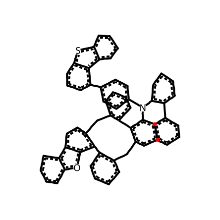 c1ccc(-c2ccccc2N(c2ccc(-c3cccc4sc5ccccc5c34)cc2)c2cccc3c2-c2ccccc2Cc2ccc4c(oc5ccccc54)c2-c2ccccc2C3)cc1